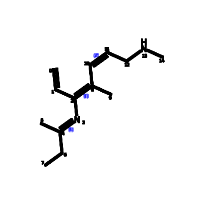 C=CC(/N=C(\C)CC)=C(C)\C=C/CNC